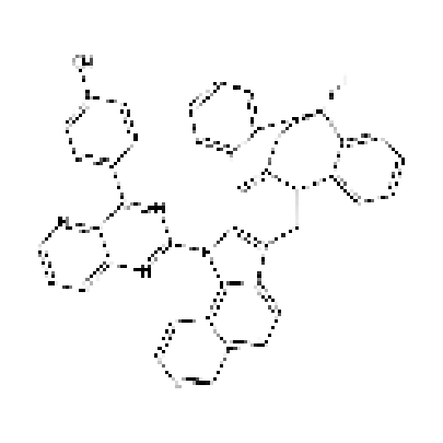 N#Cc1ccc(-c2nc(-n3c4c5c6c(cc4c4ccc7ccccc7c43)-c3ccccc3[C@@H](CC6)c3ccccc3-5)nc3cccnc23)cc1